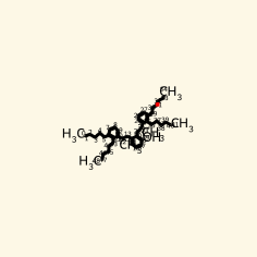 CCCCCCc1cccc(C(C)Cc2cccc(O)c2CC(C)c2cccc(CCCCCC)c2CCCCCC)c1CCCCCC